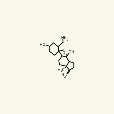 C=C1CCC2C(O)C(C3(C)CCC(O)CC3CN)CCC12C